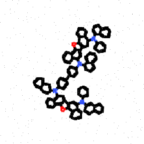 c1ccc(N(c2ccc3ccccc3c2)c2cc3c4cc(N(c5ccc(-c6ccc(N(c7cccc8ccccc78)c7cc8c9cc(N(c%10ccccc%10)c%10cccc%11ccccc%10%11)c%10ccccc%10c9oc8c8ccccc78)cc6)cc5)c5ccc6ccccc6c5)c5ccccc5c4oc3c3ccccc23)cc1